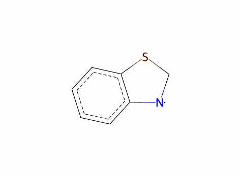 c1ccc2c(c1)[N]CS2